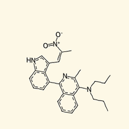 CCCN(CCC)c1c(C)nc(-c2cccc3[nH]cc(/C=C(/C)[N+](=O)[O-])c23)c2ccccc12